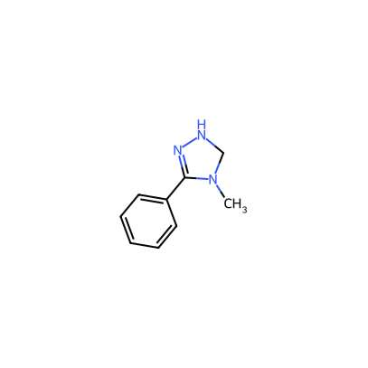 CN1CNN=C1c1ccccc1